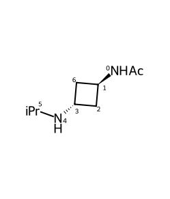 CC(=O)N[C@H]1C[C@H](NC(C)C)C1